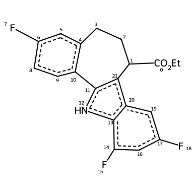 CCOC(=O)C1CCc2cc(F)ccc2-c2[nH]c3c(F)cc(F)cc3c21